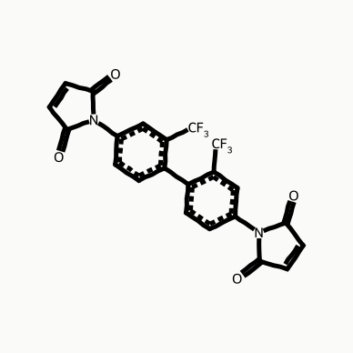 O=C1C=CC(=O)N1c1ccc(-c2ccc(N3C(=O)C=CC3=O)cc2C(F)(F)F)c(C(F)(F)F)c1